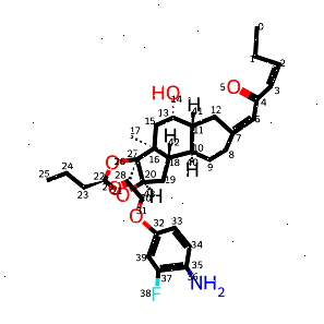 CC/C=C\C(=O)/C=C1/CC[C@@H]2[C@@H](C1)[C@@H](O)C[C@@]1(C)[C@H]2C[C@H]2O[C@@H](CCC)O[C@]21C(=O)COc1ccc(N)c(F)c1